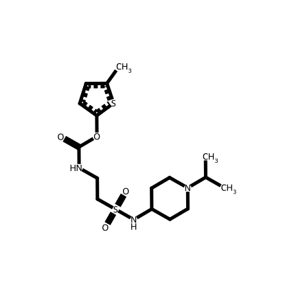 Cc1ccc(OC(=O)NCCS(=O)(=O)NC2CCN(C(C)C)CC2)s1